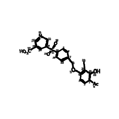 CC(=O)c1ccc(OCc2ccc(S(=O)(=O)c3cncc(C(=O)O)c3)cc2)c(C)c1O